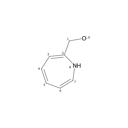 [O]CC1=CC=CC=CN1